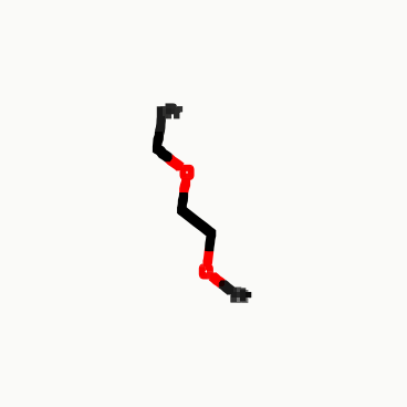 C[CH]OCCOCCCC